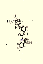 CC(C)(C)OC(=O)Nc1cccc(NC(=O)/C=C/c2ccccc2B(O)O)c1